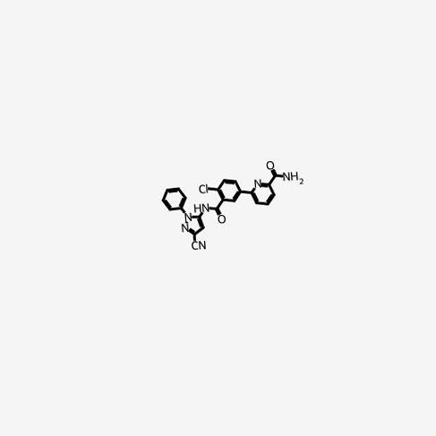 N#Cc1cc(NC(=O)c2cc(-c3cccc(C(N)=O)n3)ccc2Cl)n(-c2ccccc2)n1